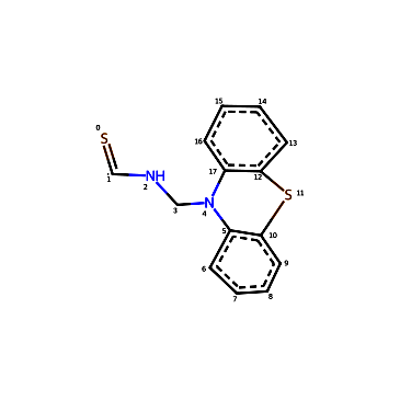 S=[C]NCN1c2ccccc2Sc2ccccc21